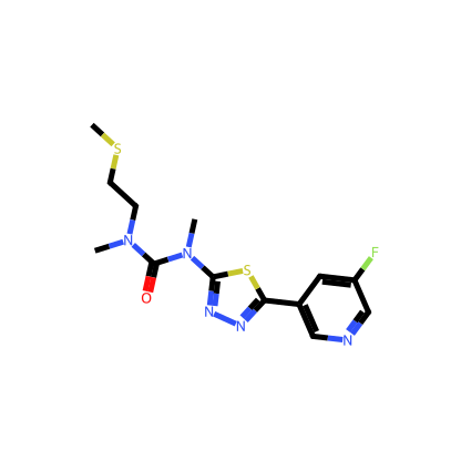 CSCCN(C)C(=O)N(C)c1nnc(-c2cncc(F)c2)s1